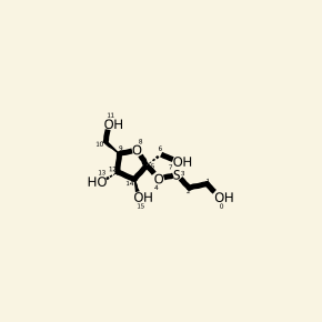 OCCSO[C@]1(CO)O[C@H](CO)[C@@H](O)[C@@H]1O